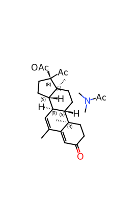 CC(=O)N(C)C.CC(=O)O[C@]1(C(C)=O)CC[C@H]2[C@@H]3C=C(C)C4=CC(=O)CC[C@]4(C)[C@H]3CC[C@@]21C